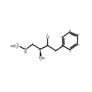 O=C(O)NC[C@H](O)C(Cl)Cc1ccccc1